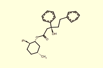 CC(C)[C@@H]1CC[C@@H](C)C[C@H]1OC(=O)C[C@@](O)(CCc1ccccc1)c1ccccc1